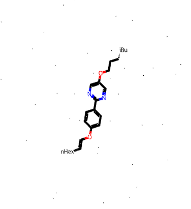 CCCCCC/C=C/Oc1ccc(-c2ncc(OCCC[C@@H](C)CC)cn2)cc1